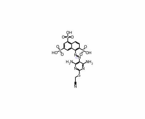 N#CCSc1nc(N)c(/N=N/c2c(S(=O)(=O)O)ccc3c(S(=O)(=O)O)cc(S(=O)(=O)O)cc23)c(N)n1